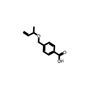 C=CC(C)OCc1ccc(C(=O)O)cc1